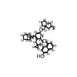 Oc1cc(N2Cc3nc(OC[C@@]45CCCN4C[C@H](F)C5)cc(N4CC5CCC(C4)N5)c3CC23CC3)c2c(Cl)cccc2c1